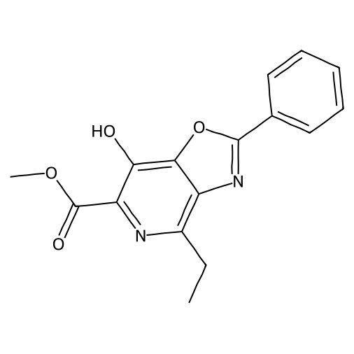 CCc1nc(C(=O)OC)c(O)c2oc(-c3ccccc3)nc12